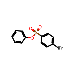 CC(C)c1ccc(S(=O)(=O)Oc2ccccc2)cc1